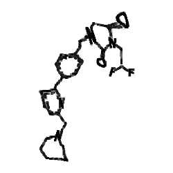 O=C1CN(Cc2ccc(-c3cccc(CN4CCCCC4)n3)cc2)C(=O)N1CC(F)F